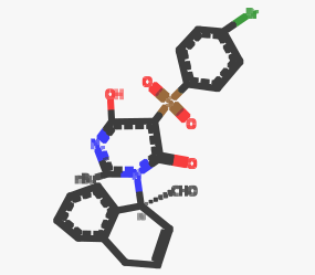 CCCCc1nc(O)c(S(=O)(=O)c2ccc(Br)cc2)c(=O)n1[C@@]1(C=O)C=CCc2ccccc21